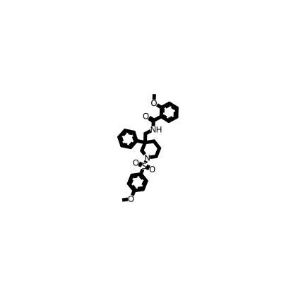 COc1ccc(S(=O)(=O)N2CCCC(CNC(=O)c3ccccc3OC)(c3ccccc3)C2)cc1